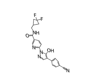 N#Cc1ccc(-c2cnn(-c3ccc(C(=O)NCC4CC(F)(F)C4)cn3)c2O)cc1